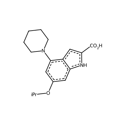 CC(C)Oc1cc(N2CCCCC2)c2cc(C(=O)O)[nH]c2c1